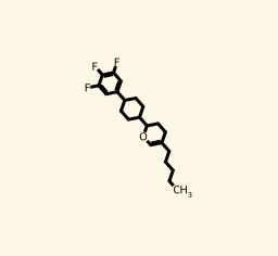 CCCCCC1=COC(C2CCC(c3cc(F)c(F)c(F)c3)CC2)CC1